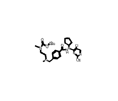 CN(CCN(C)C(=O)OC(C)(C)C)Cc1ccc(C(=O)NN(c2nc(C#N)ncc2Cl)C2CCCC2)cc1